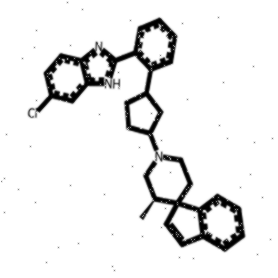 C[C@H]1CN(C2CCC(c3ccccc3-c3nc4ccc(Cl)cc4[nH]3)C2)CCC12C=Cc1ccccc12